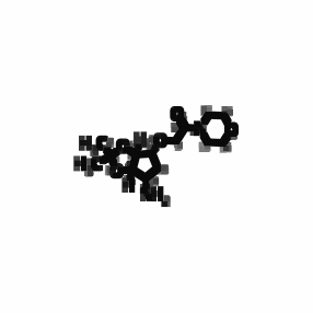 CC1(C)O[C@@H]2[C@H](O1)[C@@H](OCC(=O)N1CCOCC1)C[C@H]2N